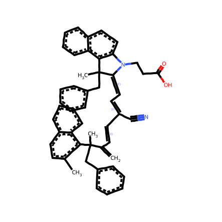 C=C(/C=C/C(C#N)=C/C=C1/N(CCC(=O)O)c2ccc3ccccc3c2C1(C)Cc1ccccc1)C(C)(Cc1ccccc1)c1c(C)ccc2ccccc12